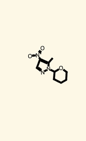 Cc1c([N+](=O)[O-])cnn1C1CCCCO1